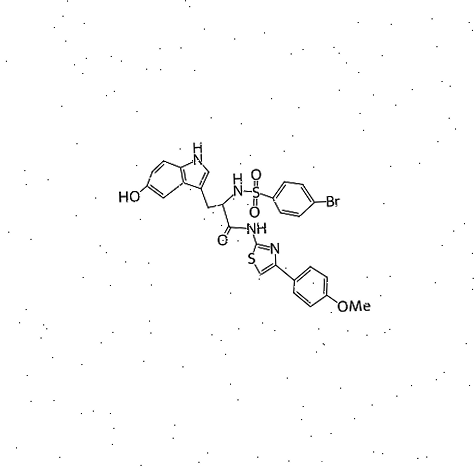 COc1ccc(-c2csc(NC(=O)C(Cc3c[nH]c4ccc(O)cc34)NS(=O)(=O)c3ccc(Br)cc3)n2)cc1